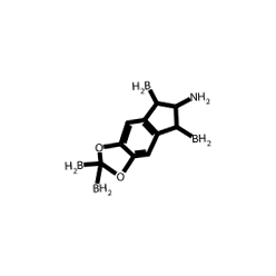 BC1c2cc3c(cc2C(B)C1N)OC(B)(B)O3